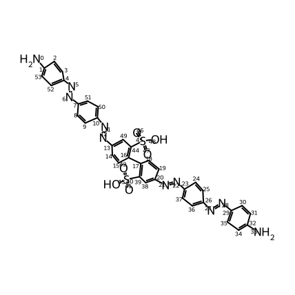 Nc1ccc(N=Nc2ccc(N=Nc3ccc(-c4ccc(N=Nc5ccc(N=Nc6ccc(N)cc6)cc5)cc4S(=O)(=O)O)c(S(=O)(=O)O)c3)cc2)cc1